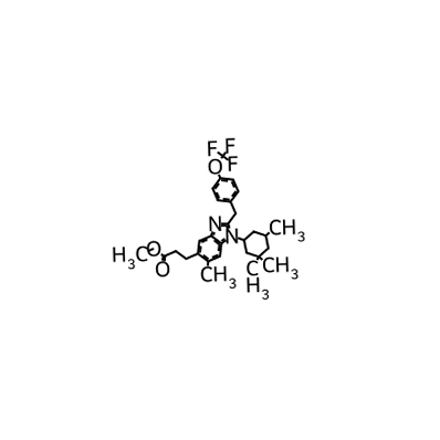 COC(=O)CCc1cc2nc(Cc3ccc(OC(F)(F)F)cc3)n(C3CC(C)CC(C)(C)C3)c2cc1C